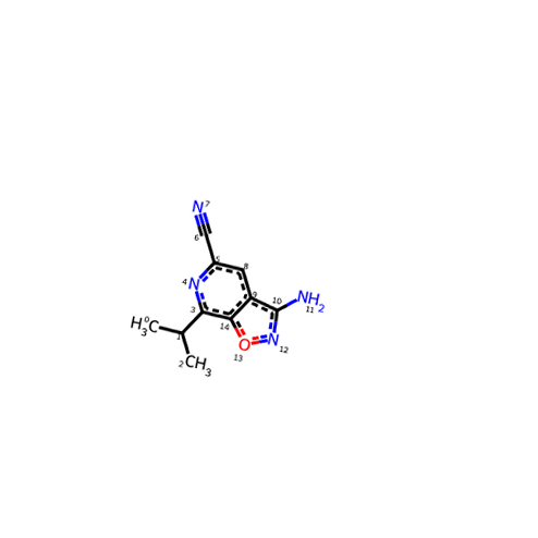 CC(C)c1nc(C#N)cc2c(N)noc12